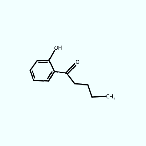 CCCCC(=O)c1ccccc1O